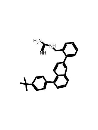 CC(C)(C)c1ccc(-c2cccc3cc(-c4ccccc4CNC(=N)N)ccc23)cc1